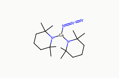 CC1(C)CCCC(C)(C)[N]1[Ga]([N]=[N+]=[N-])[N]1C(C)(C)CCCC1(C)C